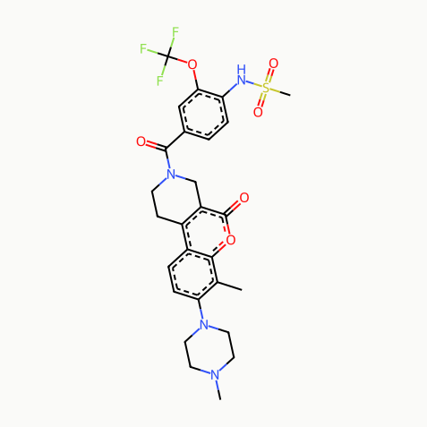 Cc1c(N2CCN(C)CC2)ccc2c3c(c(=O)oc12)CN(C(=O)c1ccc(NS(C)(=O)=O)c(OC(F)(F)F)c1)CC3